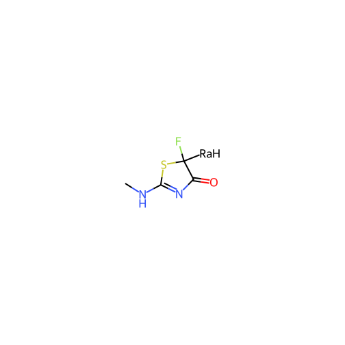 CNC1=NC(=O)[C](F)([RaH])S1